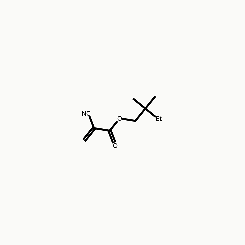 C=C(C#N)C(=O)OCC(C)(C)CC